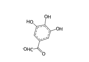 O=[C]C(=O)c1cc(O)c(O)c(O)c1